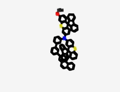 CC(C)(C)Oc1ccc2c(c1)Sc1cc(N(c3cccc(-c4cccc(-c5ccc6c(ccc7ccccc76)c5)c4)c3)c3ccc4c(c3)C3(c5ccccc5S4)c4ccccc4-c4ccccc43)ccc1C21c2ccccc2-c2ccccc21